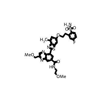 COCCNC(=O)c1cc(-c2nc3c(C)cc(OCCc4cc(F)ccc4S(N)(=O)=O)cc3s2)c2ncc(COC)nc2c1